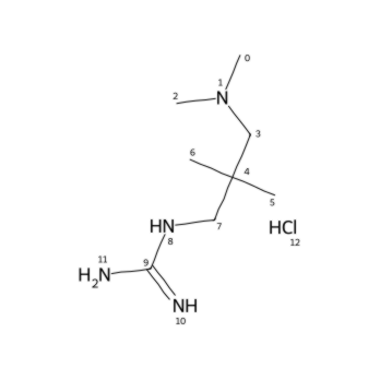 CN(C)CC(C)(C)CNC(=N)N.Cl